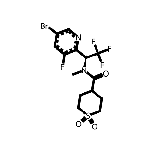 CN(C(=O)C1CCS(=O)(=O)CC1)[C@@H](c1ncc(Br)cc1F)C(F)(F)F